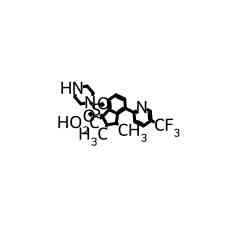 CC1c2c(-c3ccc(C(F)(F)F)cn3)cccc2C(C(=O)O)(S(=O)(=O)N2CCNCC2)C1C